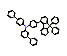 c1ccc(-c2ccc(N(c3ccc(-c4cccc5c4-c4ccccc4[Si]5(c4ccccc4)c4ccccc4)cc3)c3cccc(-c4ccccc4)c3)cc2)cc1